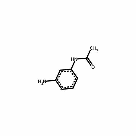 CC(=O)Nc1cc[c]c(N)c1